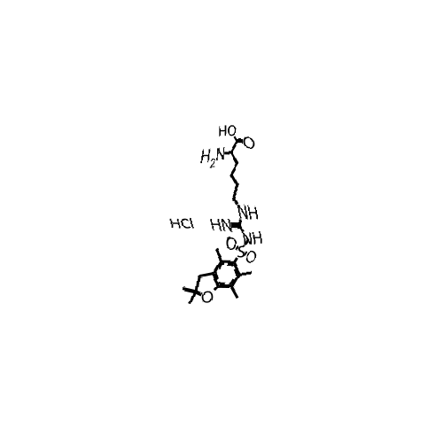 Cc1c(C)c(S(=O)(=O)NC(=N)NCCCCC(N)C(=O)O)c(C)c2c1OC(C)(C)C2.Cl